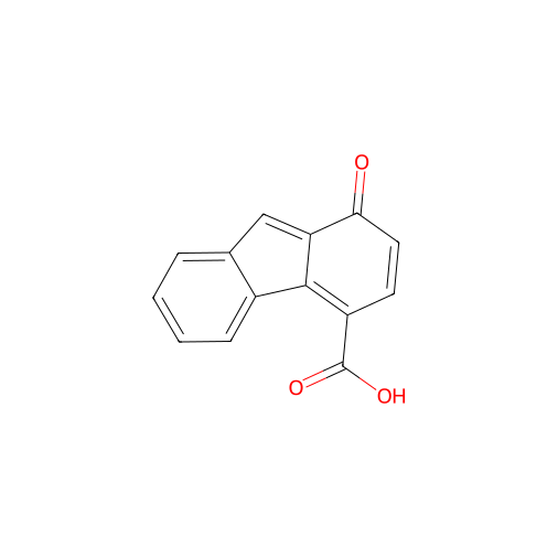 O=C(O)C1=C2C(=Cc3ccccc32)C(=O)C=C1